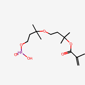 C=C(C)C(=O)OC(C)(C)CCOC(C)(C)CCO[PH](=O)O